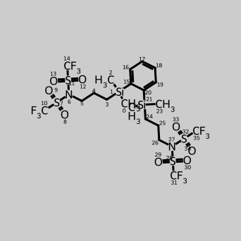 C[Si](C)(CCCN(S(=O)(=O)C(F)(F)F)S(=O)(=O)C(F)(F)F)c1ccccc1[Si](C)(C)CCCN(S(=O)(=O)C(F)(F)F)S(=O)(=O)C(F)(F)F